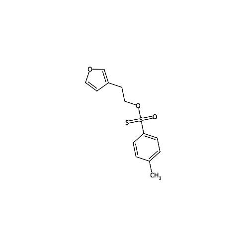 Cc1ccc(S(=O)(=S)OCCc2ccoc2)cc1